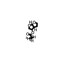 [2H]C([2H])([2H])C(=O)O[C@H]1CO[C@H]2OCC[C@H]21